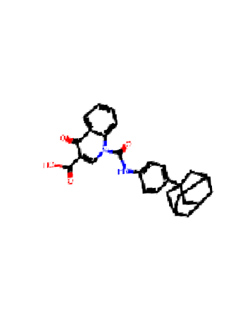 O=C(O)c1cn(C(=O)Nc2ccc(C34CC5CC(CC(C5)C3)C4)cc2)c2ccccc2c1=O